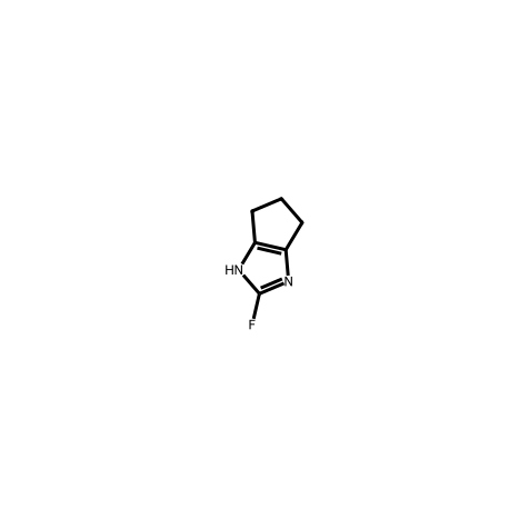 Fc1nc2c([nH]1)CCC2